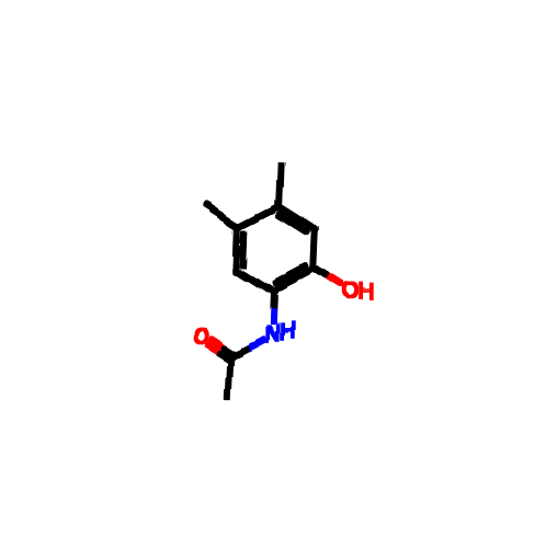 CC(=O)Nc1cc(C)c(C)cc1O